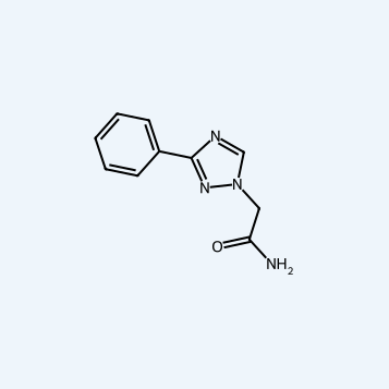 NC(=O)Cn1cnc(-c2ccccc2)n1